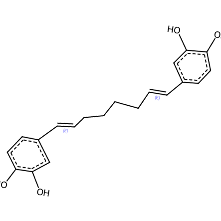 Oc1ccc(/C=C/CCCC/C=C/c2ccc(O)c(O)c2)cc1O